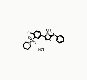 Cl.Cn1c(-c2ccc(Cl)c(S(=O)(=O)N3CCCCC3)c2)csc1=Nc1ccccc1